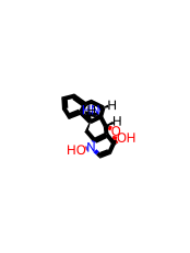 ON1C=CC2(O)O[C@@H]3C2=C1C[C@]12CCN[C@H](Cc4ccccc41)[C@H]32